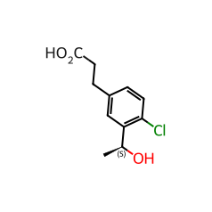 C[C@H](O)c1cc(CCC(=O)O)ccc1Cl